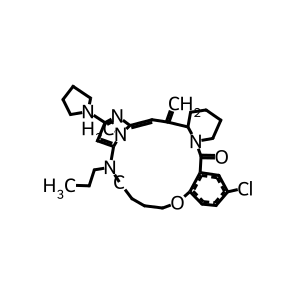 C=C1/C=C2/N=C(N3CCCC3)C=C(N(CCC)CCCCOc3ccc(Cl)cc3C(=O)N3CCCCC13)N2C